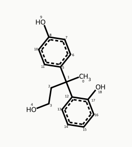 CC(CCO)(c1ccc(O)cc1)c1ccccc1O